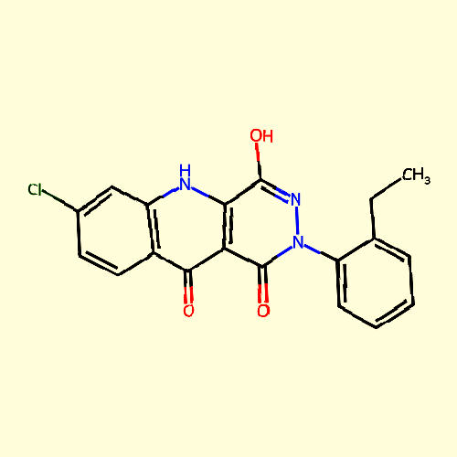 CCc1ccccc1-n1nc(O)c2[nH]c3cc(Cl)ccc3c(=O)c2c1=O